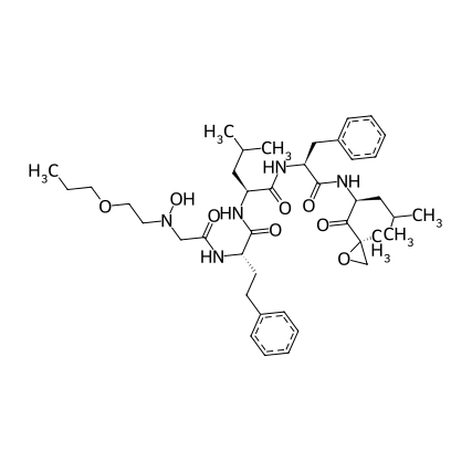 CCCOCCN(O)CC(=O)N[C@@H](CCc1ccccc1)C(=O)N[C@@H](CC(C)C)C(=O)N[C@@H](Cc1ccccc1)C(=O)N[C@@H](CC(C)C)C(=O)[C@@]1(C)CO1